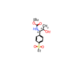 CCS(=O)(=O)c1ccc([C@@H](NC(=O)OC(C)(C)C)[C@@H](C)O)cc1